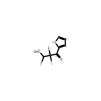 O=CC(F)C(F)(F)C(=O)c1cccs1